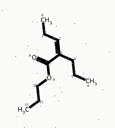 CC/C=C(/CCC)C(=O)OCCC